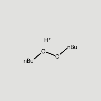 CCCCOOCCCC.[H+]